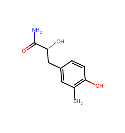 Bc1cc(C[C@@H](O)C(N)=O)ccc1O